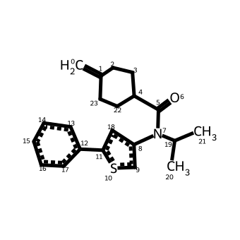 C=C1CCC(C(=O)N(c2csc(-c3ccccc3)c2)C(C)C)CC1